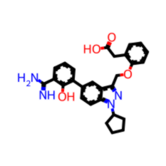 N=C(N)c1cccc(-c2ccc3c(c2)c(COc2ccccc2CC(=O)O)nn3C2CCCC2)c1O